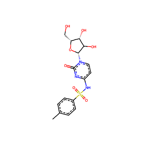 Cc1ccc(S(=O)(=O)Nc2ccn([C@@H]3O[C@H](CO)[C@H](O)C3O)c(=O)n2)cc1